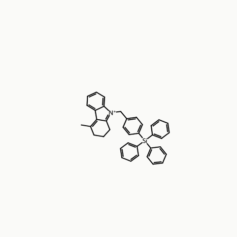 CC1=C2C(=[N+](Cc3ccc([Si](c4ccccc4)(c4ccccc4)c4ccccc4)cc3)c3ccccc32)CCC1